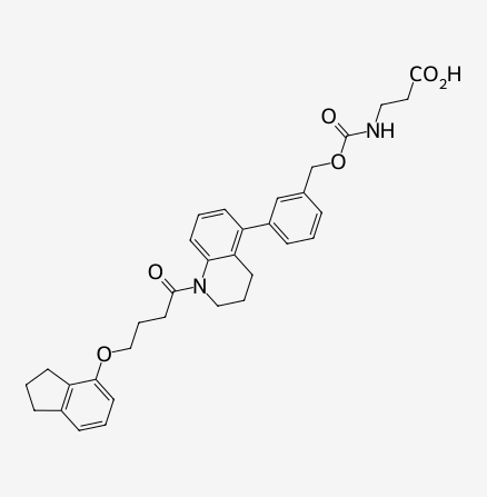 O=C(O)CCNC(=O)OCc1cccc(-c2cccc3c2CCCN3C(=O)CCCOc2cccc3c2CCC3)c1